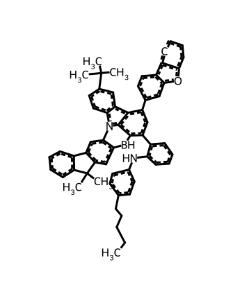 CCCCCc1ccc(Nc2ccccc2-c2cc(-c3ccc4c(c3)oc3ccccc34)c3c4cc(C(C)(C)C)ccc4n4c3c2Bc2cc3c(cc2-4)-c2ccccc2C3(C)C)cc1